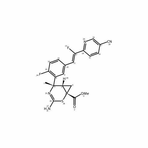 COC(=O)[C@]12C[C@H]1[C@@](C)(c1cc(/C=C(\F)c3ccc(C#N)cn3)ccc1F)N=C(N)S2